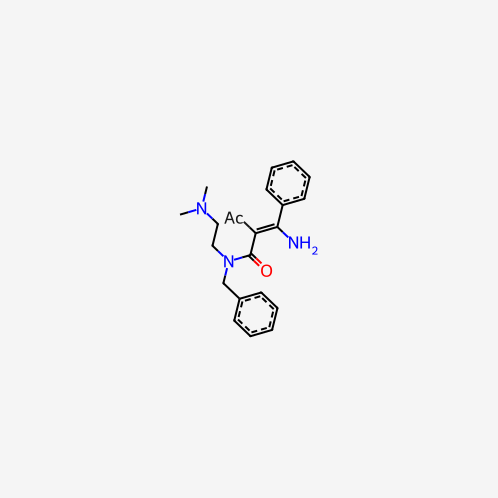 CC(=O)/C(C(=O)N(CCN(C)C)Cc1ccccc1)=C(/N)c1ccccc1